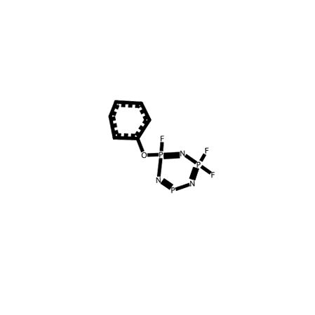 FP1(F)=NP=NP(F)(Oc2ccccc2)=N1